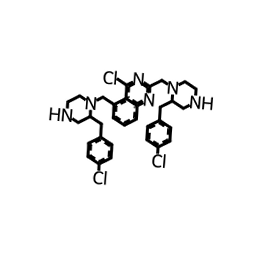 Clc1ccc(CC2CNCCN2Cc2nc(Cl)c3c(CN4CCNCC4Cc4ccc(Cl)cc4)cccc3n2)cc1